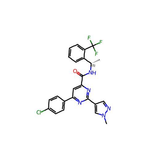 C[C@H](NC(=O)c1cc(-c2ccc(Cl)cc2)nc(-c2cnn(C)c2)n1)c1ccccc1C(F)(F)F